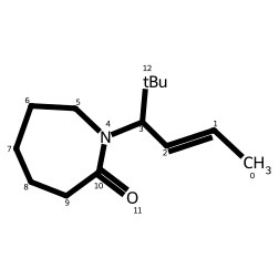 CC=CC(N1CCCCCC1=O)C(C)(C)C